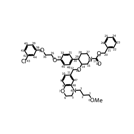 COCCCN1CCOc2ccc(COC3CN(C(=O)OCc4ccccc4)CCC3c3ccc(OCCOc4cccc(Cl)c4)cc3)cc21